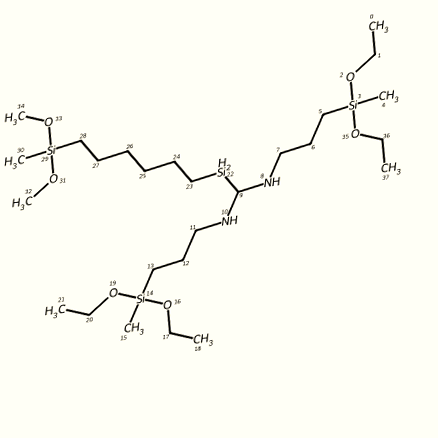 CCO[Si](C)(CCCNC(NCCC[Si](C)(OCC)OCC)[SiH2]CCCCCC[Si](C)(OC)OC)OCC